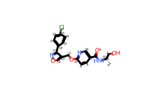 C[C@@H](CO)NC(=O)c1ccc(OCc2conc2-c2ccc(Cl)cc2)nc1